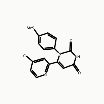 CSc1ccc(-n2c(-c3cc(Cl)ccn3)cc(=O)[nH]c2=O)cc1